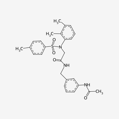 CC(=O)Nc1cccc(CNC(=O)CN(c2cccc(C)c2C)S(=O)(=O)c2ccc(C)cc2)c1